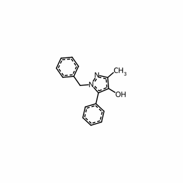 Cc1nn(Cc2ccccc2)c(-c2ccccc2)c1O